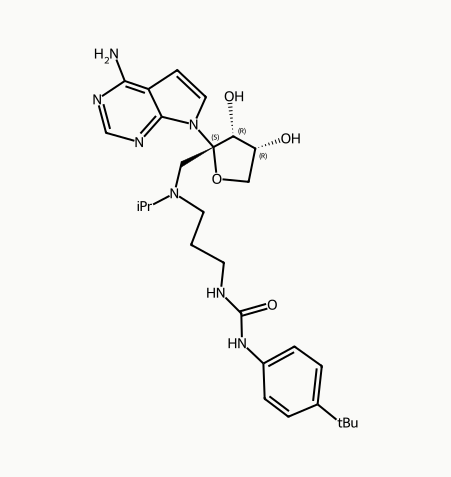 CC(C)N(CCCNC(=O)Nc1ccc(C(C)(C)C)cc1)C[C@]1(n2ccc3c(N)ncnc32)OC[C@@H](O)[C@H]1O